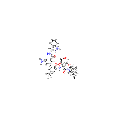 COc1c(CN2O[C@@H](CO)[C@@H]([C@H](C)OC)[C@H]2C(=O)N[C@H]2C[C@H]3C[C@@H]([C@@H]2C)C3(C)C)cc(C(C)(C)C)cc1-c1cc(C(=O)N[C@@H](Cc2ccccc2)CN(C)C)cc(N(C)C)c1